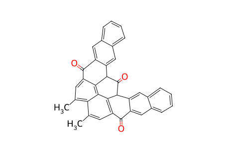 Cc1cc2c3c4c5c(cc(C)c14)C(=O)c1cc4ccccc4cc1C5C(=O)C3c1cc3ccccc3cc1C2=O